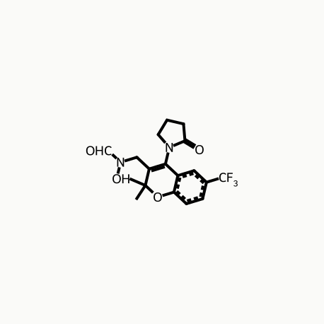 CC1(C)Oc2ccc(C(F)(F)F)cc2C(N2CCCC2=O)=C1CN(O)C=O